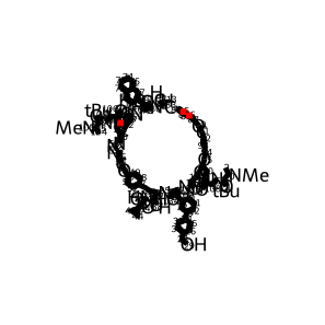 CN[C@@H](C)C(=O)N[C@H](C(=O)N1CC2CC1C(=O)N[C@@H](Cc1cccc(-c3ccc(CO)cc3)c1)C(=O)N[C@H](C(=O)NS(=O)(=O)C1CC1)Cc1ccc(cc1)OCc1cn(nn1)C1C[C@@H](C(=O)N[C@@H](Cc3ccc4ccccc4c3)C(=O)N[C@H](C(=O)O)Cc3ccc(cc3)OC/C=C/CO2)N(C(=O)[C@@H](NC(=O)[C@H](C)NC)C(C)(C)C)C1)C(C)(C)C